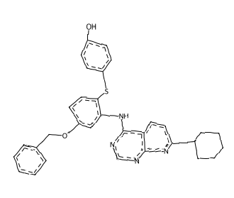 Oc1ccc(Sc2ccc(OCc3ccccc3)cc2Nc2ncnc3nc(C4CCCCC4)ccc23)cc1